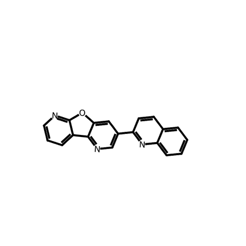 c1ccc2nc(-c3cnc4c(c3)oc3ncccc34)ccc2c1